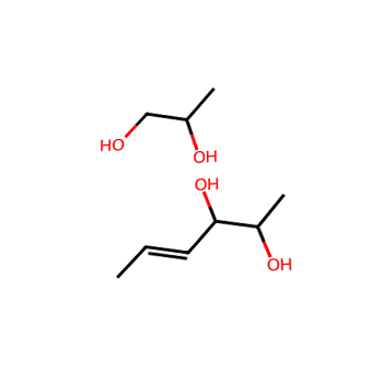 CC(O)CO.CC=CC(O)C(C)O